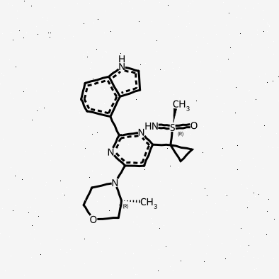 C[C@@H]1COCCN1c1cc(C2([S@](C)(=N)=O)CC2)nc(-c2cccc3[nH]ccc23)n1